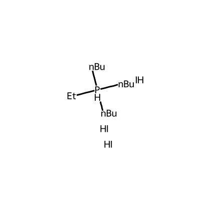 CCCC[PH](CC)(CCCC)CCCC.I.I.I